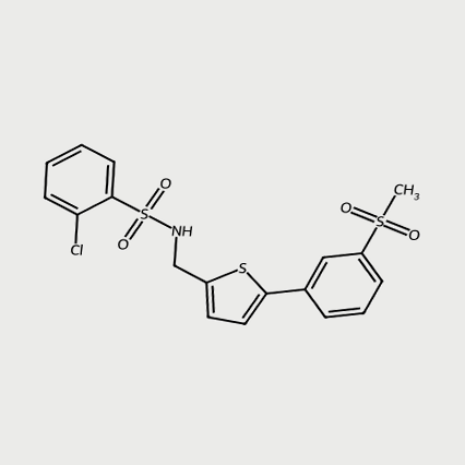 CS(=O)(=O)c1cccc(-c2ccc(CNS(=O)(=O)c3ccccc3Cl)s2)c1